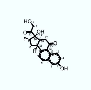 C[C@@H]1C[C@H]2c3ccc4cc(O)ccc4c3C(=O)C[C@]2(C)[C@@]1(O)C(=O)CO